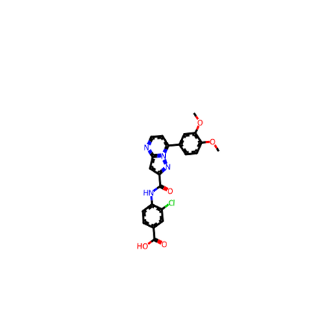 COc1ccc(-c2ccnc3cc(C(=O)Nc4ccc(C(=O)O)cc4Cl)nn23)cc1OC